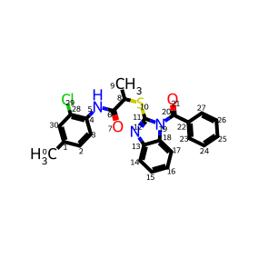 Cc1ccc(NC(=O)C(C)Sc2nc3ccccc3n2C(=O)c2ccccc2)c(Cl)c1